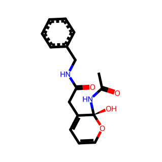 CC(=O)N[C@]1(O)OC=CC=C1CC(=O)NCc1ccccc1